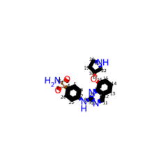 NS(=O)(=O)c1ccc(Nc2ncc3cccc(OC4CCNC4)c3n2)cc1